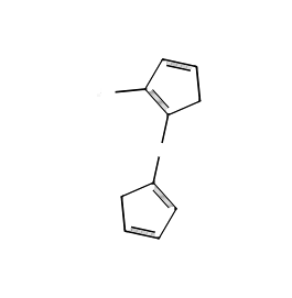 CCCC1=[C]([Ru][C]2=CC=CC2)CC=C1